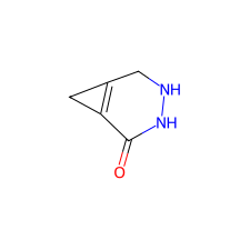 O=C1NNCC2=C1C2